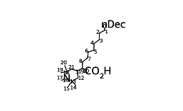 CCCCCCCCCCCCCCCCCCC(C(=O)O)C1CC(C)(C)N(C)C(C)(C)C1